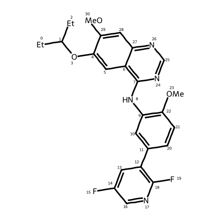 CCC(CC)Oc1cc2c(Nc3cc(-c4cc(F)cnc4F)ccc3OC)ncnc2cc1OC